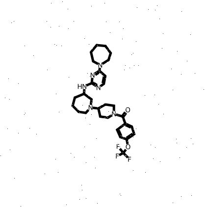 O=C(c1ccc(OC(F)(F)F)cc1)N1CCC(N2CCCCC(Nc3nccc(N4CCCCCC4)n3)C2)CC1